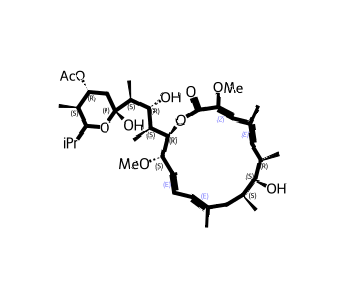 CO/C1=C\C(C)=C\[C@@H](C)[C@@H](O)[C@@H](C)C/C(C)=C/C=C/[C@H](OC)[C@@H]([C@@H](C)[C@@H](O)[C@H](C)[C@@]2(O)C[C@@H](OC(C)=O)[C@H](C)C(C(C)C)O2)OC1=O